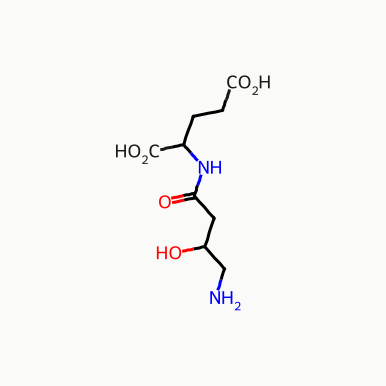 NCC(O)CC(=O)NC(CCC(=O)O)C(=O)O